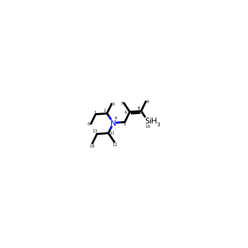 CCC(C)N(CC(C)=C(C)[SiH3])C(C)CC